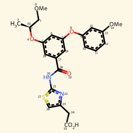 COC[C@H](C)Oc1cc(Oc2cccc(OC)c2)cc(C(=O)Nc2nc(CC(=O)O)cs2)c1